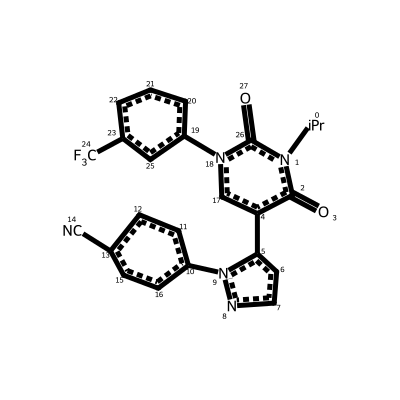 CC(C)n1c(=O)c(-c2ccnn2-c2ccc(C#N)cc2)cn(-c2cccc(C(F)(F)F)c2)c1=O